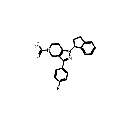 CC(=O)N1CCc2c(c(-c3ccc(F)cc3)nn2[C@H]2CCc3ccccc32)C1